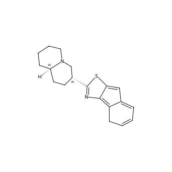 C1=CCC2=c3nc([C@@H]4CC[C@H]5CCCCN5C4)sc3=CC2=C1